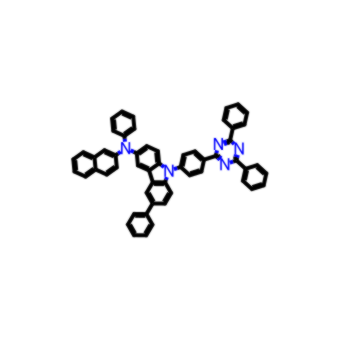 c1ccc(-c2ccc3c(c2)c2cc(N(c4ccccc4)c4ccc5ccccc5c4)ccc2n3-c2ccc(-c3nc(-c4ccccc4)nc(-c4ccccc4)n3)cc2)cc1